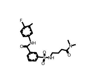 Cc1cc(NC(=O)c2cccc(S(=O)(=O)NCCCC(=O)N(C)C)c2)ccc1F